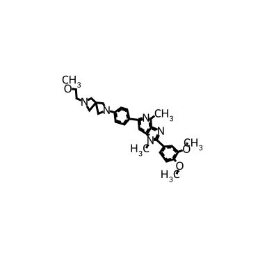 COCCN1CC2(C1)CN(c1ccc(-c3cc4c(nc(-c5ccc(OC)c(OC)c5)n4C)c(C)n3)cc1)C2